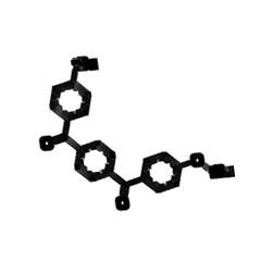 CC(C)(C)Oc1ccc(C(=O)c2ccc(C(=O)c3ccc(C(C)(C)C)cc3)cc2)cc1